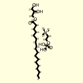 CCCCCCCCCCCCCCCCCC(=O)OCC(O)CO.C[N+](C)(C)CCOP(=O)(O)O